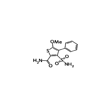 COc1sc(C(N)=O)c(S(N)(=O)=O)c1-c1ccccc1